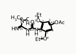 CCOc1cc(OC(C)=O)cc(OCC)c1NC(=O)NC(=N)N(C)C